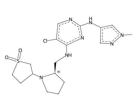 Cn1cc(Nc2ncc(Cl)c(NC[C@H]3CCCN3C3CCS(=O)(=O)C3)n2)cn1